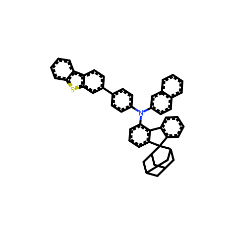 c1ccc2c(c1)-c1c(N(c3ccc(-c4ccc5c(c4)sc4ccccc45)cc3)c3ccc4ccccc4c3)cccc1C21C2CC3CC(C2)CC1C3